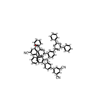 N#Cc1cc(C#N)cc(-c2ccc3c4ccc(-c5cc(C#N)cc(C#N)c5)cc4n(-c4ccc(-c5nc(-c6ccccc6)nc(-c6ccccc6)n5)cc4-c4nc(-c5ccccc5)cc(-c5ccccc5)n4)c3c2)c1